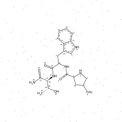 CC(=O)OC1CNC(C(=O)NC(Cc2c[nH]c3ccccc23)C(=O)N[C@H](C(N)=O)[C@@H](C)O)C1